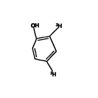 [2H]c1ccc(O)c([2H])c1